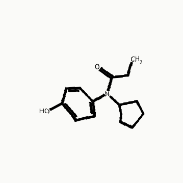 CCC(=O)N(c1ccc(O)cc1)C1CCCC1